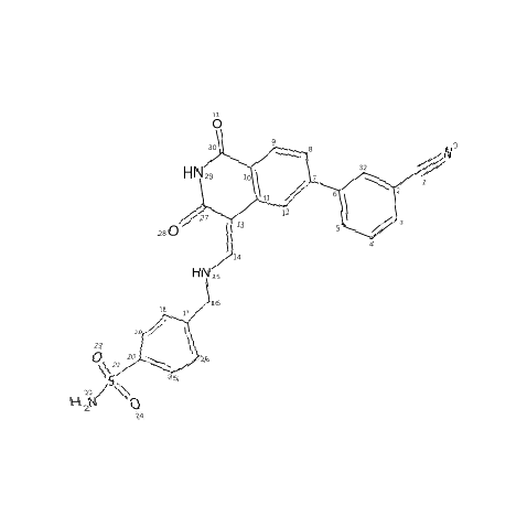 N#Cc1cccc(-c2ccc3c(c2)/C(=C/NCc2ccc(S(N)(=O)=O)cc2)C(=O)NC3=O)c1